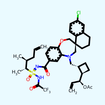 C=CC[C@H](C)[C@@H](C)S(=O)(=NC(=O)c1ccc2c(c1)N(C[C@@H]1CC[C@H]1[C@H](C=C)OC(C)=O)C[C@@]1(CCCc3cc(Cl)ccc31)CO2)NC(=O)C(F)(F)F